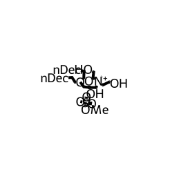 CCCCCCCCCCCCOCC(O)(C[N+](C)(CCO)CCO)OCCCCCCCCCCCC.COS(=O)(=O)[O-]